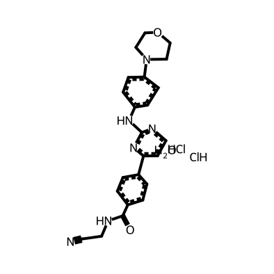 Cl.Cl.N#CCNC(=O)c1ccc(-c2ccnc(Nc3ccc(N4CCOCC4)cc3)n2)cc1.O